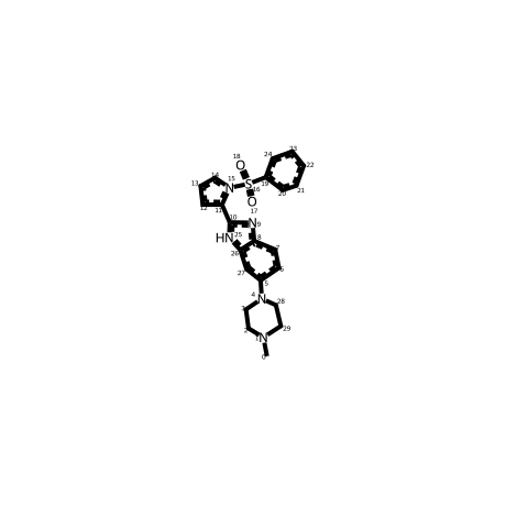 CN1CCN(c2ccc3nc(-c4cccn4S(=O)(=O)c4ccccc4)[nH]c3c2)CC1